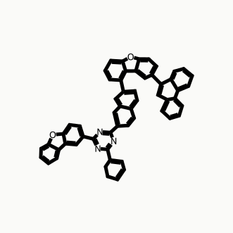 C1=CCCC(c2nc(-c3ccc4ccc(-c5cccc6oc7ccc(-c8cc9ccccc9c9ccccc89)cc7c56)cc4c3)nc(-c3ccc4oc5ccccc5c4c3)n2)=C1